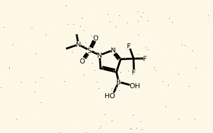 CN(C)S(=O)(=O)n1cc(B(O)O)c(C(F)(F)F)n1